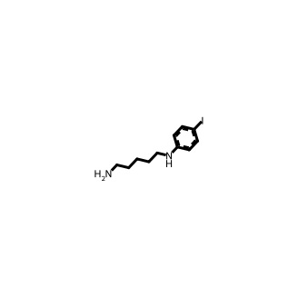 NCCCCCNc1ccc(I)cc1